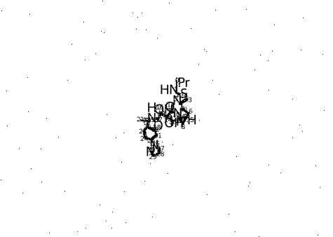 CC(C)Nc1nc([C@H]2C[C@H]3C[C@H]3N2C(=O)[C@H](O)[C@@H](O)C(=O)N[C@H](C)c2ccc(-n3cccn3)cc2)cs1